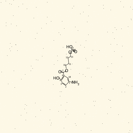 Nc1ccc(O)c(C(=O)OCCCCO[N+](=O)O)c1